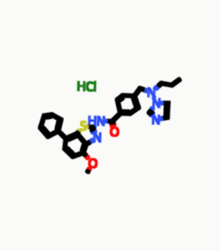 CCCN(Cc1ccc(C(=O)Nc2nc3c(OC)ccc(-c4ccccc4)c3s2)cc1)n1ccnc1.Cl